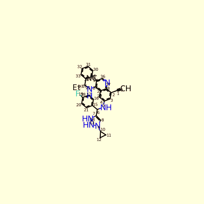 C#Cc1cc(NC(C2=CN(C3CC3)NN2)c2ccc(F)cc2)cc2c(N[C@H](CC)c3ccccc3)c(C#N)cnc12